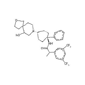 CC(C(=O)N[C@]1(c2ccccc2)CC[C@@H](N2CCC3(CCOC3)C(O)C2)CC1)c1cc(C(F)(F)F)cc(C(F)(F)F)c1